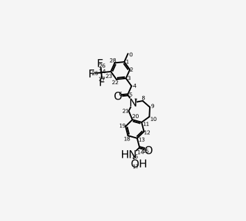 Cc1cc(CC(=O)N2CCCc3cc(C(=O)NO)ccc3C2)cc(C(F)(F)F)c1